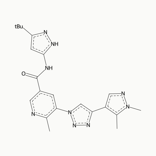 Cc1ncc(C(=O)Nc2cc(C(C)(C)C)n[nH]2)cc1-n1cc(-c2cnn(C)c2C)nn1